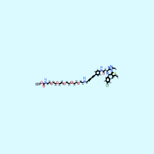 Cc1sc2c(c1C)C(c1ccc(Cl)cc1)=N[C@@H](CC(=O)Nc1ccc(C#CC#CCNCCOCCOCCOCCOCCOCCNC(=O)OC(C)(C)C)cc1)c1nnc(C)n1-2